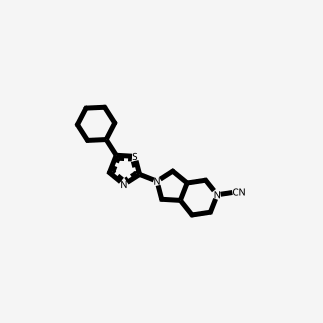 N#CN1CCC2CN(c3ncc(C4CCCCC4)s3)CC2C1